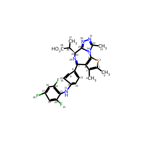 Cc1sc2c(c1C)C(c1ccc(Nc3c(F)cc(F)cc3F)cc1)=N[C@@H](C(C)C(=O)O)c1nnc(C)n1-2